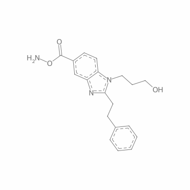 NOC(=O)c1ccc2c(c1)nc(CCc1ccccc1)n2CCCO